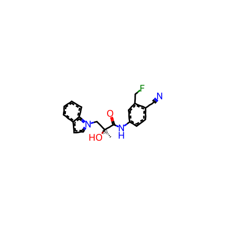 C[C@](O)(Cn1ccc2ccccc21)C(=O)Nc1ccc(C#N)c(CF)c1